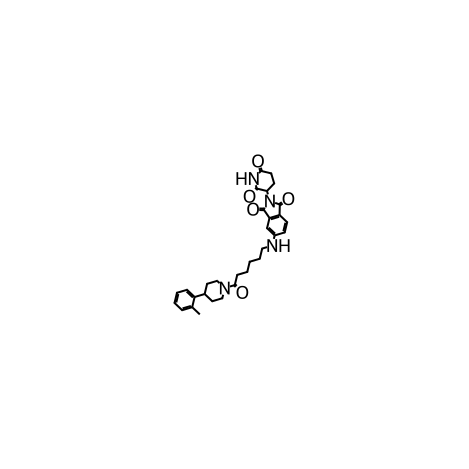 Cc1ccccc1C1CCN(C(=O)CCCCCNc2ccc3c(c2)C(=O)N(C2CCC(=O)NC2=O)C3=O)CC1